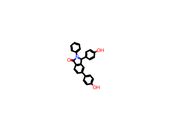 O=C1c2ccc(-c3ccc(O)cc3)cc2C(c2ccc(O)cc2)N1c1ccccc1